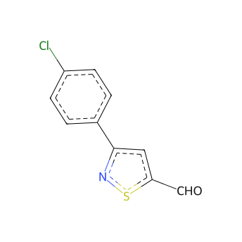 O=Cc1cc(-c2ccc(Cl)cc2)ns1